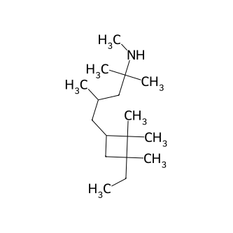 CCC1(C)CC(CC(C)CC(C)(C)NC)C1(C)C